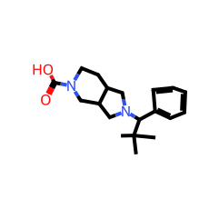 CC(C)(C)C(c1ccccc1)N1CC2CCN(C(=O)O)CC2C1